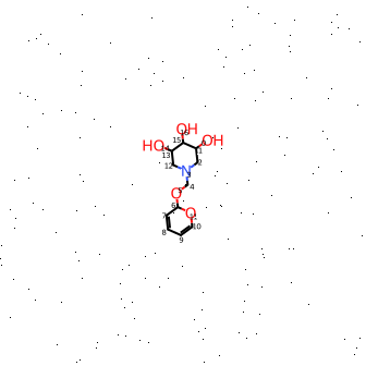 OC1CN(COC2C=CC=CO2)CC(O)C1O